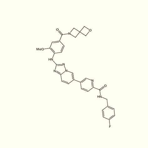 COc1cc(C(=O)N2CC3(COC3)C2)ccc1Nc1nc2ccc(-c3ccc(C(=O)NCc4ccc(F)cc4)nc3)cn2n1